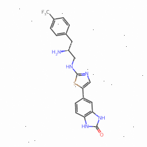 N[C@H](CNc1ncc(-c2ccc3[nH]c(=O)[nH]c3c2)s1)Cc1ccc(C(F)(F)F)cc1